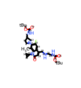 Cc1c(N2CCC(CNC(=O)OC(C)(C)C)C2)c(F)cc2c(CNCCNC(=O)OC(C)(C)C)cc(=O)n(C3CC3)c12